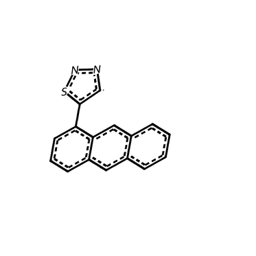 [c]1nnsc1-c1cccc2cc3ccccc3cc12